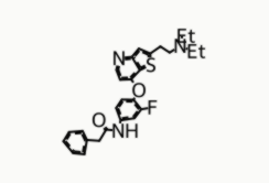 CCN(CC)CCc1cc2nccc(Oc3ccc(NC(=O)Cc4ccccc4)cc3F)c2s1